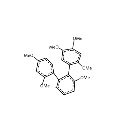 COc1ccc(-c2[c]ccc(OC)c2-c2cc(OC)c(OC)cc2OC)c(OC)c1